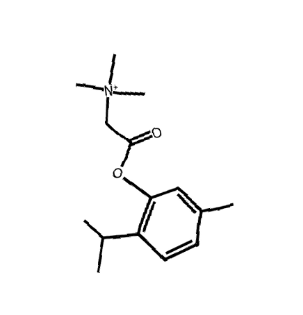 Cc1ccc(C(C)C)c(OC(=O)C[N+](C)(C)C)c1